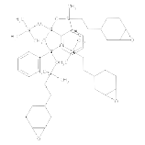 C[Si](C)(C)O[Si](O[Si](C)(C)CCC1CCC2OC2C1)(O[Si](O[Si](C)(C)CCC1CCC2OC2C1)(O[Si](C)(C)CCC1CCC2OC2C1)c1ccccc1)c1ccccc1